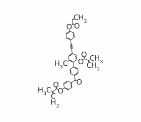 C=CC(=O)Oc1ccc(C#Cc2cc(C)c(-c3ccc(C(=O)c4ccc(OC(=O)C(=C)C)cc4)cc3)c(OC(=O)C(=C)C)c2)cc1